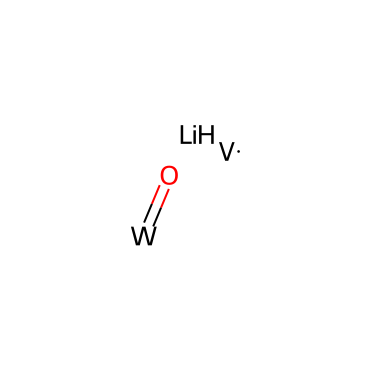 [LiH].[O]=[W].[V]